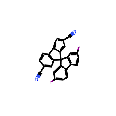 N#Cc1ccc2c(c1)C1(c3cc(I)ccc3-c3ccc(I)cc31)c1cc(C#N)ccc1-2